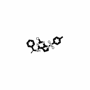 Cc1ccc(S(=O)(=O)n2ccc3c(N[C@@H](C)c4ccccc4)nc(Cl)nc32)cc1